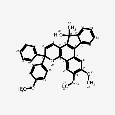 COc1ccc(C2(c3ccccc3)C=Cc3c4c(c5cc(OC)c(OC)cc5c3O2)-c2ccccc2C4(C)C)cc1